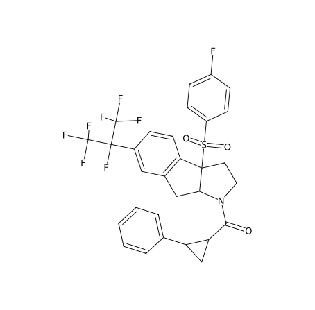 O=C(C1CC1c1ccccc1)N1CCC2(S(=O)(=O)c3ccc(F)cc3)c3ccc(C(F)(C(F)(F)F)C(F)(F)F)cc3CC12